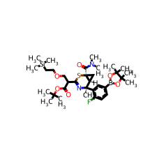 CN(C)C(=O)[C@]12C[C@H]1[C@@](C)(c1cc(B3OC(C)(C)C(C)(C)O3)ccc1F)N=C(C(COCC[Si](C)(C)C)C(=O)OC(C)(C)C)S2